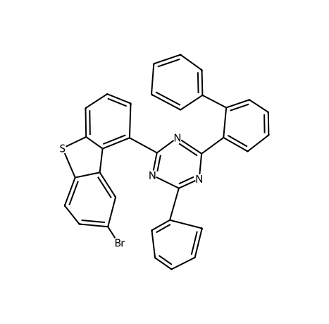 Brc1ccc2sc3cccc(-c4nc(-c5ccccc5)nc(-c5ccccc5-c5ccccc5)n4)c3c2c1